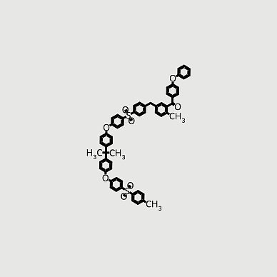 Cc1ccc(S(=O)(=O)c2ccc(Oc3ccc(C(C)(C)c4ccc(Oc5ccc(S(=O)(=O)c6ccc(Cc7ccc(C)c(C(=O)c8ccc(Oc9ccccc9)cc8)c7)cc6)cc5)cc4)cc3)cc2)cc1